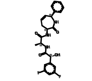 C[C@H](NC(=O)[C@H](O)c1cc(F)cc(F)c1)C(=O)N[C@H]1CC=C[C@@H](c2ccccc2)NC1=O